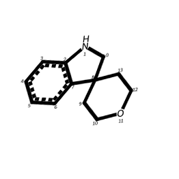 [CH]1Nc2ccccc2C12CCOCC2